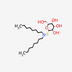 CCCCCCCCN(CCCCCCCC)S[C@@H]1O[C@H](CO)[C@H](O)[C@H](O)[C@H]1O